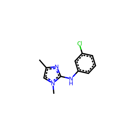 Cc1cn(C)c(Nc2cccc(Cl)c2)n1